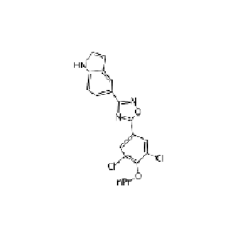 CCCOc1c(Cl)cc(-c2nc(-c3ccc4[nH]ccc4c3)no2)cc1Cl